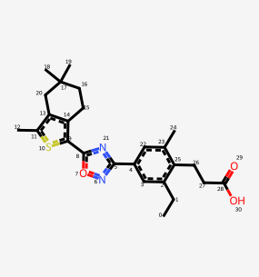 CCc1cc(-c2noc(-c3sc(C)c4c3CCC(C)(C)C4)n2)cc(C)c1CCC(=O)O